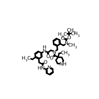 CCc1ccc(NC(=O)CN(Cc2ccccc2CN(C)C(=O)OC(C)(C)C)C(=O)C2(CC)CCNCC2)cc1CC(=O)Nc1ccccn1